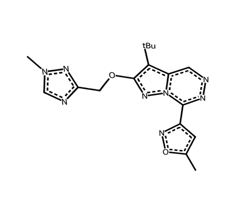 Cc1cc(-c2nncc3c(C(C)(C)C)c(OCc4ncn(C)n4)nn23)no1